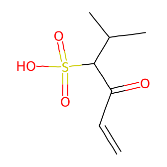 C=CC(=O)C(C(C)C)S(=O)(=O)O